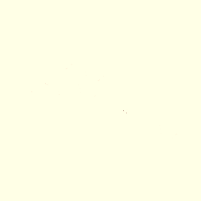 CCCCCNC(=O)C1C=CC=C2C(=O)C(CCN3CCC(c4ccccc4)CC3)=CC=C21